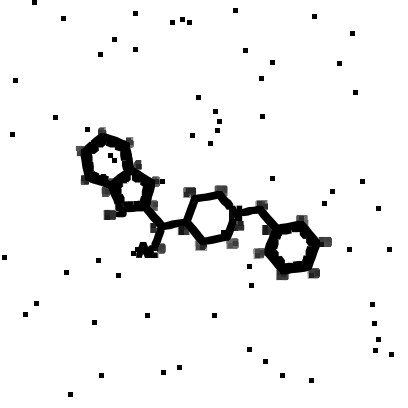 CC(=O)C(c1cc2ccccc2s1)C1CCN(Cc2ccccc2)CC1